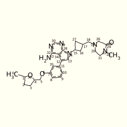 CC1CCC(COc2cccc(-c3cn(C4CC(CN5CCN(C)C(=O)C5)C4)c4ncnc(N)c34)c2)O1